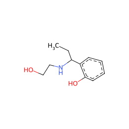 CCC(NCCO)c1ccccc1O